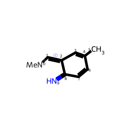 CN/C=C1/C=C(C)C=CC1=N